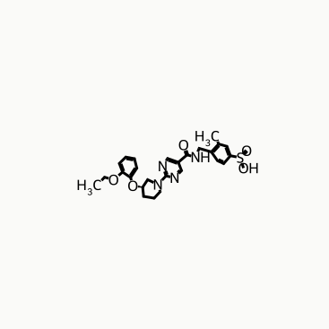 CCOc1ccccc1O[C@@H]1CCCN(c2ncc(C(=O)NCc3ccc(S(=O)O)cc3C)cn2)C1